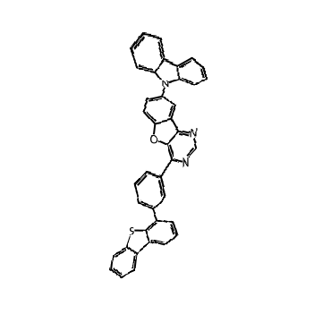 c1cc(-c2ncnc3c2oc2ccc(-n4c5ccccc5c5ccccc54)cc23)cc(-c2cccc3c2sc2ccccc23)c1